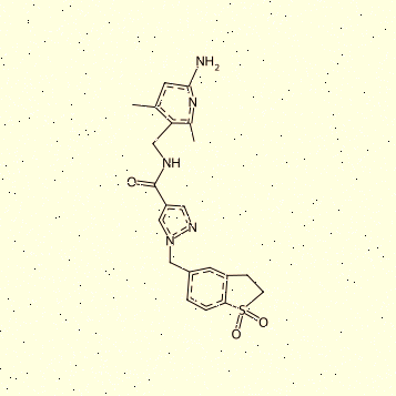 Cc1cc(N)nc(C)c1CNC(=O)c1cnn(Cc2ccc3c(c2)CCS3(=O)=O)c1